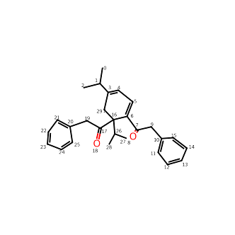 CC(C)C1=CC=C(C(=O)Cc2ccccc2)C(C(=O)Cc2ccccc2)(C(C)C)[CH]1